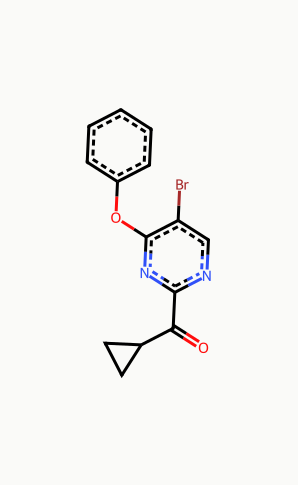 O=C(c1ncc(Br)c(Oc2ccccc2)n1)C1CC1